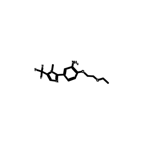 CCOCCOc1ccc(-c2ncc(C(F)(F)F)n2C)cc1N